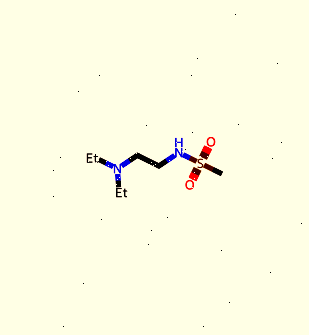 CCN(CC)CCNS(C)(=O)=O